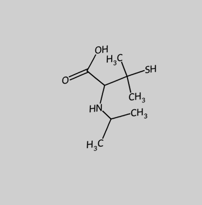 CC(C)NC(C(=O)O)C(C)(C)S